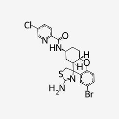 NC1=NC2(CS1)c1cc(Br)ccc1O[C@H]1CC[C@H](NC(=O)c3ccc(Cl)cn3)C[C@@H]12